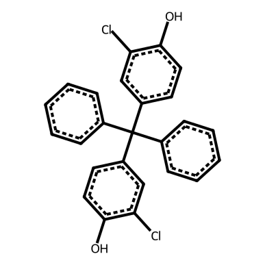 Oc1ccc(C(c2ccccc2)(c2ccccc2)c2ccc(O)c(Cl)c2)cc1Cl